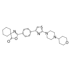 O=C1OC(c2ccc(-c3csc(N4CCN(C5CCOCC5)CC4)n3)cc2)=NC12CCCCC2